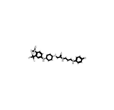 O=C(CO[C@H]1CC[C@H](Nc2ccc([N+](=O)[O-])c(C(F)(F)F)c2)CC1)NCCCNc1ccc(Cl)cc1